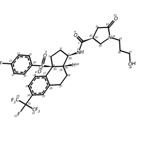 O=C(N[C@@H]1CC[C@@]2(S(=O)(=O)c3ccc(F)cc3)c3ccc(C(F)(C(F)(F)F)C(F)(F)F)cc3CC[C@@H]12)[C@H]1CC(=O)N(CCCO)C1